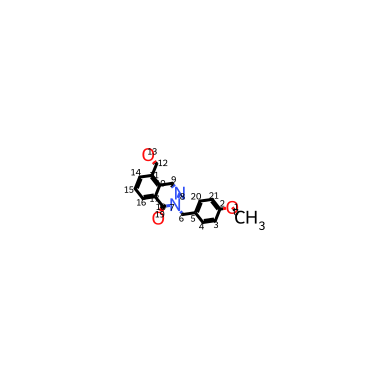 COc1ccc(Cn2ncc3c(C=O)cccc3c2=O)cc1